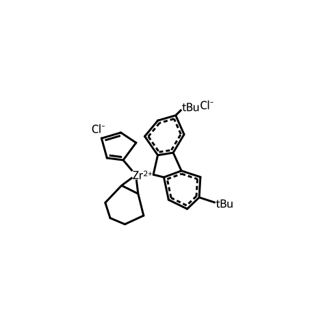 CC(C)(C)c1ccc2c(c1)-c1cc(C(C)(C)C)ccc1[CH]2[Zr+2]1([C]2=CC=CC2)[CH]2CCCC[CH]21.[Cl-].[Cl-]